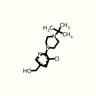 CC(C)(C)N1CCN(c2ncc(CO)cc2Cl)CC1